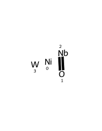 [Ni].[O]=[Nb].[W]